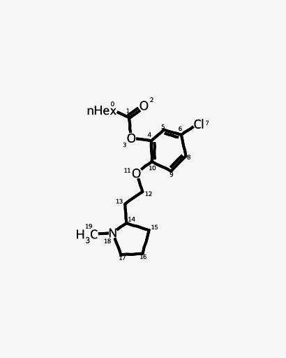 CCCCCCC(=O)Oc1cc(Cl)ccc1OCCC1CCCN1C